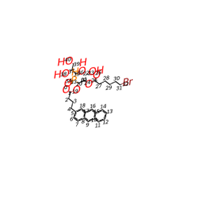 O=C(CCCc1ccc2cc3ccccc3cc2c1)OC([C@H](CO)OC(=O)CCCCCBr)[PH](=O)C(O)C(O)CO